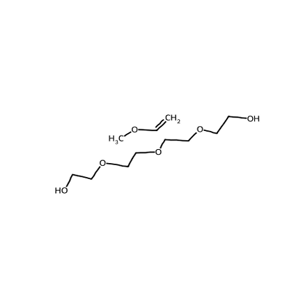 C=COC.OCCOCCOCCOCCO